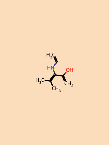 C=CNC(C(=C)O)=C(C)C